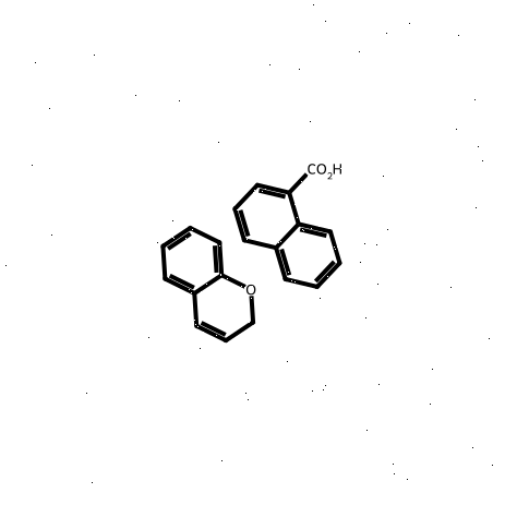 C1=Cc2ccccc2OC1.O=C(O)c1cccc2ccccc12